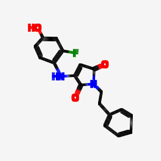 O=C1C=C(Nc2ccc(O)cc2F)C(=O)N1CCc1ccccc1